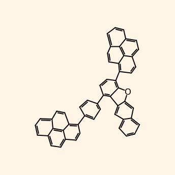 c1ccc2cc3c(cc2c1)oc1c(-c2ccc4ccc5cccc6ccc2c4c56)ccc(-c2ccc(-c4ccc5ccc6cccc7ccc4c5c67)cc2)c13